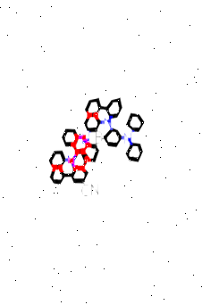 N#Cc1cc(-c2ccccc2)c(N(c2ccccc2)c2ccccc2)c(-c2ccc3c(c2)N(c2ccccc2-c2ccccc2)c2cccc4c2B3c2ccc(N(c3ccccc3)c3ccccc3)cc2N4c2ccccc2-c2ccccc2)c1